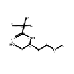 COCC[C@@H](CO)NC(=O)C(C)(C)C